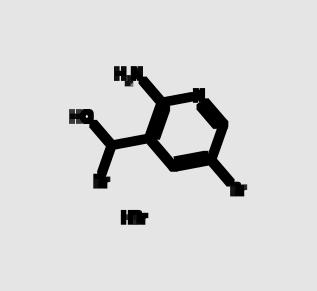 Br.Nc1ncc(Br)cc1C(O)Br